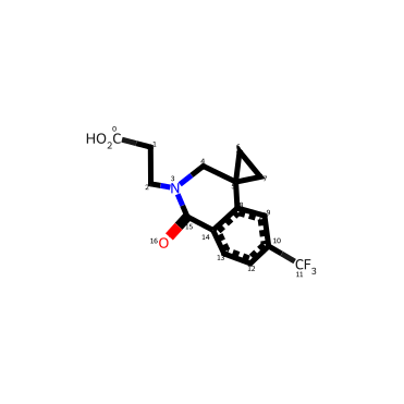 O=C(O)CCN1CC2(CC2)c2cc(C(F)(F)F)ccc2C1=O